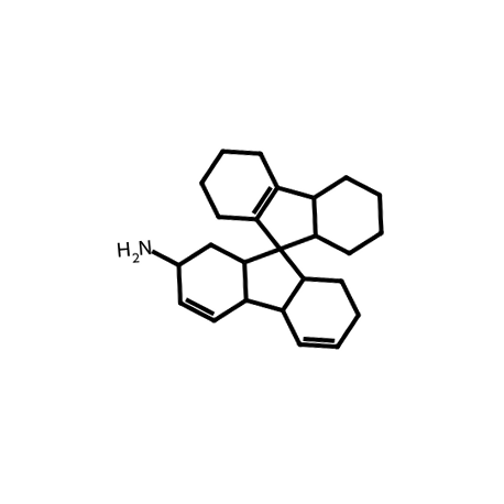 NC1C=CC2C3C=CCCC3C3(C4=C(CCCC4)C4CCCCC43)C2C1